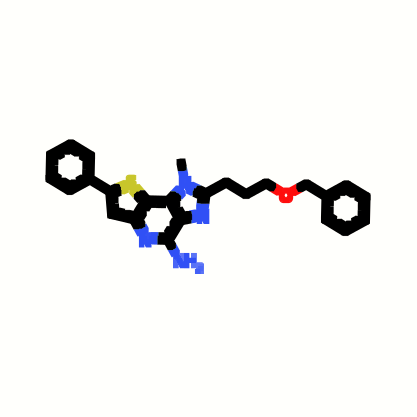 Cn1c(CCCOCc2ccccc2)nc2c(N)nc3cc(-c4ccccc4)sc3c21